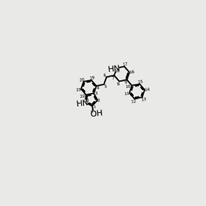 Oc1cc2c(CCC3CC(c4ccccc4)=CCN3)cccc2[nH]1